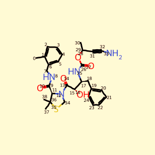 Cc1ccccc1CNC(=O)[C@H]1N(C(=O)[C@@H](O)[C@H](Cc2ccccc2)NC(=O)OC(C)C#CN)CSC1(C)C